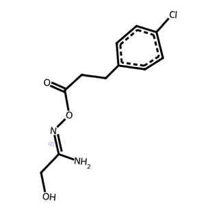 N/C(CO)=N\OC(=O)CCc1ccc(Cl)cc1